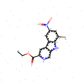 CCOC(=O)c1cc2c(cn1)[nH]c1c(Br)cc([N+](=O)[O-])cc12